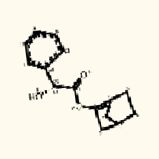 O=C(OC1=C2CCC(C2)C1)[C@H](O)c1ccccc1